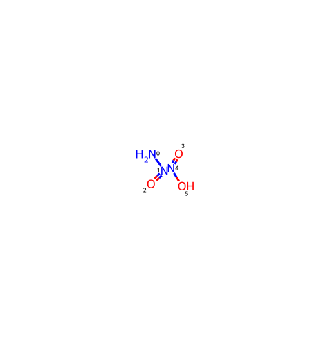 NN=O.O=NO